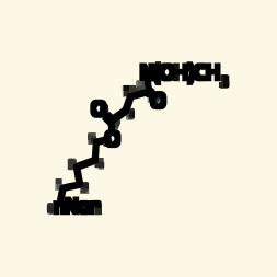 CCCCCCCCCCCCCCOC(=O)CCC(=O)N(C)O